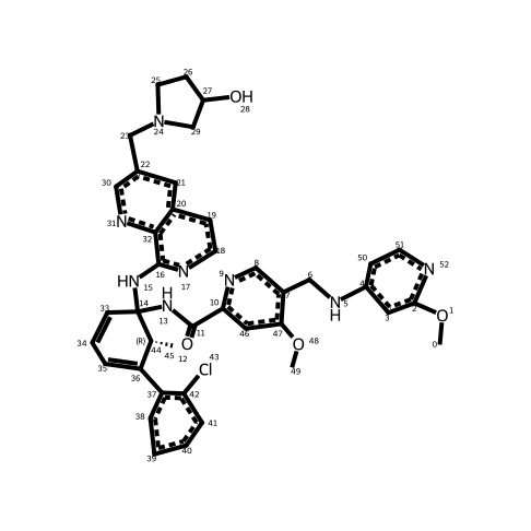 COc1cc(NCc2cnc(C(=O)NC3(Nc4nccc5cc(CN6CCC(O)C6)cnc45)C=CC=C(c4ccccc4Cl)[C@H]3C)cc2OC)ccn1